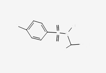 CC(C(=O)O)N(C)S(=O)(=O)c1ccc(F)cc1